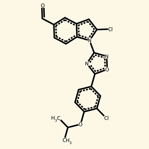 CC(C)Oc1ccc(-c2nc(-n3c(Cl)cc4cc(C=O)ccc43)no2)cc1Cl